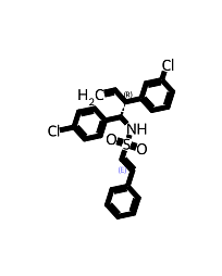 C=C[C@H](c1cccc(Cl)c1)C(NS(=O)(=O)/C=C/c1ccccc1)c1ccc(Cl)cc1